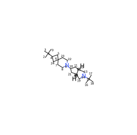 CC(C)(C)C1CC2(CCN(C3C[C@H]4CN(C(C)(C)C)C[C@@H]4C3)CC2)C1